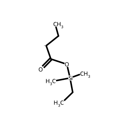 CC[CH]C(=O)O[Si](C)(C)CC